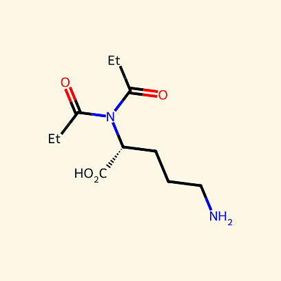 CCC(=O)N(C(=O)CC)[C@H](CCCN)C(=O)O